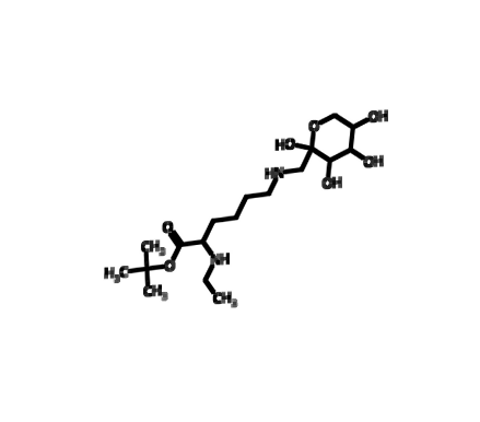 CCNC(CCCCNCC1(O)OCC(O)C(O)C1O)C(=O)OC(C)(C)C